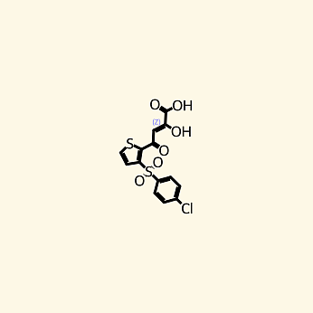 O=C(O)/C(O)=C/C(=O)c1sccc1S(=O)(=O)c1ccc(Cl)cc1